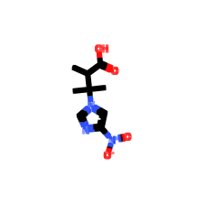 CC(C(=O)O)C(C)(C)n1cnc([N+](=O)[O-])c1